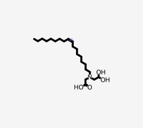 CCCCCCCC/C=C\CCCCCCCCN(CC(=O)O)CC(O)O